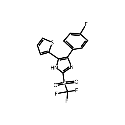 O=S(=O)(c1nc(-c2ccc(F)cc2)c(-c2cccs2)[nH]1)C(F)(F)F